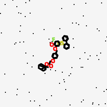 COc1c(F)cc([SH]2c3ccccc3-c3ccccc32)cc1OCc1ccc(OCC(=O)OC2(C)C3CC4CC(C3)CC2C4)cc1